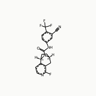 N#Cc1cc(NC(=O)N2[C@@H]3CC[C@H]2c2ccnc(F)c2C3)ccc1C(F)(F)F